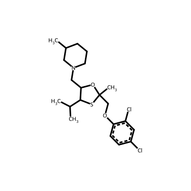 CC1CCCN(CC2OC(C)(COc3ccc(Cl)cc3Cl)SC2C(C)C)C1